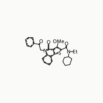 CCN(C(=O)c1sc2c(c1OC)c(=O)n(CC(=O)c1ccccc1)c1ccccc21)C1CCCCC1